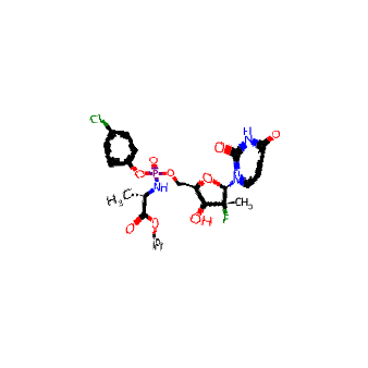 CC(C)OC(=O)[C@H](C)NP(=O)(OC[C@H]1O[C@@H](n2ccc(=O)[nH]c2=O)[C@](C)(F)C1O)Oc1ccc(Cl)cc1